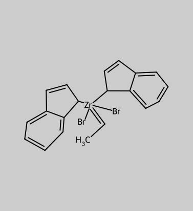 C[CH]=[Zr]([Br])([Br])([CH]1C=Cc2ccccc21)[CH]1C=Cc2ccccc21